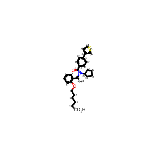 [2H]C(c1ccccc1OCCCCCC(=O)O)N(C(=O)c1ccc(-c2ccsc2)cc1)C1CCCC1